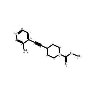 CC(C)(C)OC(=O)N1CCC(C#Cc2ncncc2N)CC1